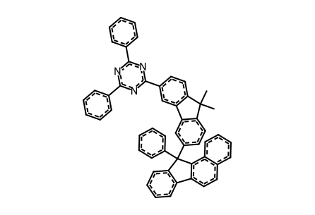 CC1(C)c2ccc(-c3nc(-c4ccccc4)nc(-c4ccccc4)n3)cc2-c2cc(C3(c4ccccc4)c4ccccc4-c4ccc5ccccc5c43)ccc21